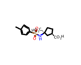 Cc1ccc(S(=O)(=O)N[C@@]2(C(=O)O)CC[C@@H](C(=O)O)C2)cc1